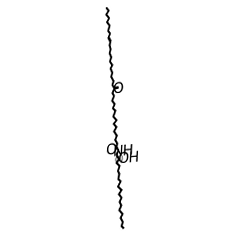 CCCCCCCCC=CCCCCCCCCCCCC(=O)CCCCCCCCCCCCCCC(=O)NC[C@@H](O)CCCCCCCCCCCCCCCCCC